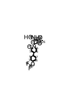 C[C@@](CCn1ccc(-c2ccc(OC(F)F)cc2)cc1=O)(C(=O)NO)S(C)(=O)=O